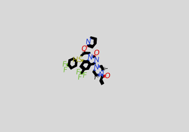 C=CC(=O)N1[C@H](C)CN(c2nc(=O)n3c4c(cc(C(F)(F)F)cc24)[SH](C2CCC(F)(F)CC2)C[C@@H](Oc2ccccn2)C3)C[C@@H]1C